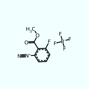 COC(=O)c1c(F)cccc1[N+]#N.F[B-](F)(F)F